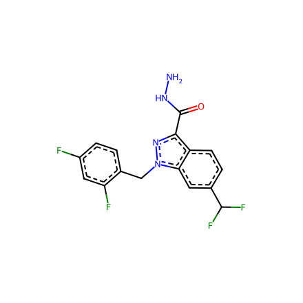 NNC(=O)c1nn(Cc2ccc(F)cc2F)c2cc(C(F)F)ccc12